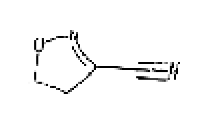 N#CC1=NO[C]C1